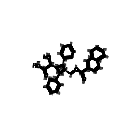 O=C(OC[C@H]1[C@@H](c2ccccc2)[C@@H](C(O)C(=O)O)[C@@H]1c1ccccc1)c1ccc2ccccc2c1